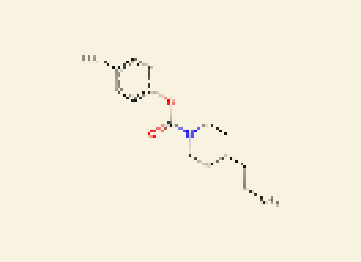 CCCC1CCN(C(=O)Oc2ccc(C)cc2)CC1